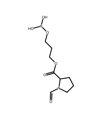 O=CN1CCCC1C(=O)OCCCON(O)O